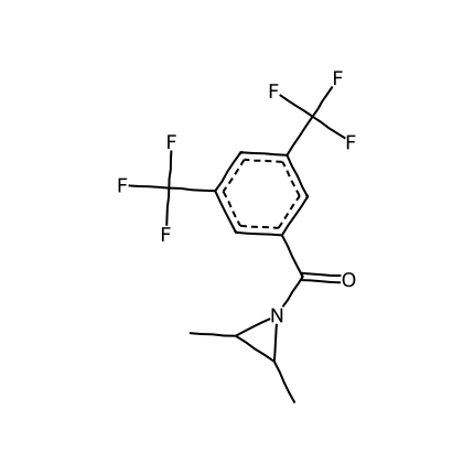 CC1C(C)N1C(=O)c1cc(C(F)(F)F)cc(C(F)(F)F)c1